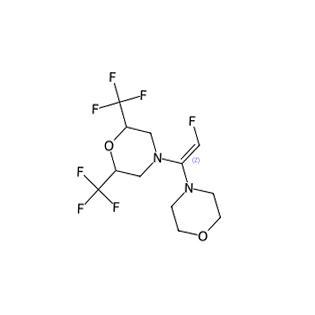 F/C=C(/N1CCOCC1)N1CC(C(F)(F)F)OC(C(F)(F)F)C1